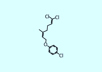 CC(=CCOc1ccc(Cl)cc1)CCC=C(Cl)Cl